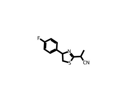 CC(C#N)C1=NC(c2ccc(F)cc2)CS1